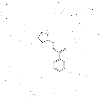 O=C(OSC1CCCO1)c1ccccc1